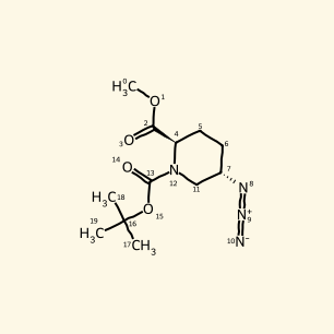 COC(=O)[C@H]1CC[C@H](N=[N+]=[N-])CN1C(=O)OC(C)(C)C